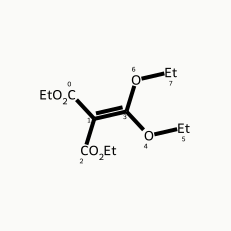 CCOC(=O)C(C(=O)OCC)=C(OCC)OCC